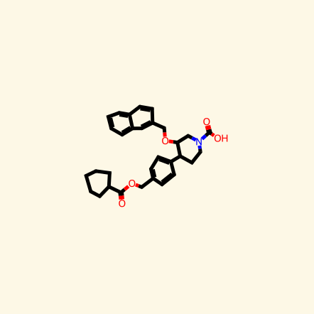 O=C(OCc1ccc(C2CCN(C(=O)O)CC2OCc2ccc3ccccc3c2)cc1)C1CCCCC1